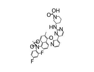 Cc1ccc2c(N(c3ccc(F)cc3F)S(C)(=O)=O)cccc2c1Oc1ncccc1-c1ccnc(NC2CCCN(C(=O)O)C2)n1